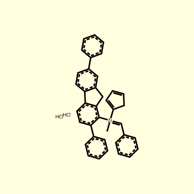 Cl.Cl.[CH3][Zr](=[CH]c1ccccc1)([C]1=CC=CC1)[c]1c(-c2ccccc2)ccc2c1Cc1cc(-c3ccccc3)ccc1-2